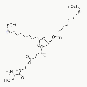 CCCCCCCC/C=C\CCCCCCCC(=O)OC[C@@H](COC(=O)CCC(=O)OCCNC(=O)C(N)CO)OC(=O)CCCCCCC/C=C\CCCCCCCC